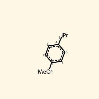 COc1[c]cc(C(C)C)cc1